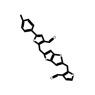 Cc1ccc(-c2cc(C=O)c(Cc3cc4sc(Cc5sccc5C=O)cc4s3)s2)cc1